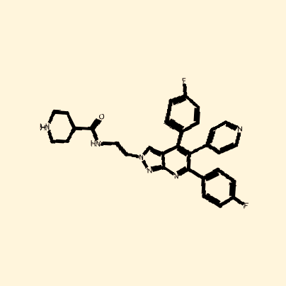 O=C(NCCn1cc2c(-c3ccc(F)cc3)c(-c3ccncc3)c(-c3ccc(F)cc3)nc2n1)C1CCNCC1